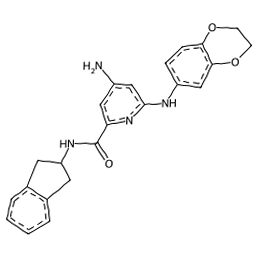 Nc1cc(Nc2ccc3c(c2)OCCO3)nc(C(=O)NC2Cc3ccccc3C2)c1